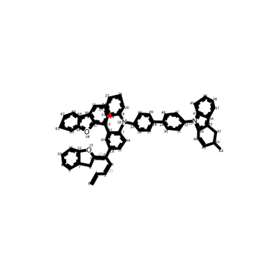 C=C/C=C\C(=C1/Cc2ccccc2O1)c1ccc(N(c2ccccc2)c2ccc(-c3ccc(-n4c5c(c6ccccc64)CC(C)C=C5)cc3)cc2)c(-c2cccc3c2oc2ccccc23)c1